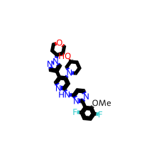 COc1c(F)ccc(F)c1-c1nccc(Nc2cc(N3CCC[C@H](O)C3)c(-c3cnn(C4CCOCC4)c3)cn2)n1